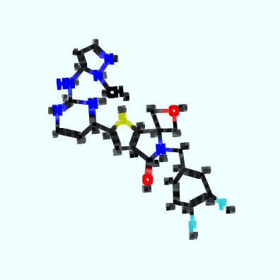 Cn1nccc1Nc1nccc(-c2cc3c(s2)C2(COC2)N(Cc2ccc(F)c(F)c2)C3=O)n1